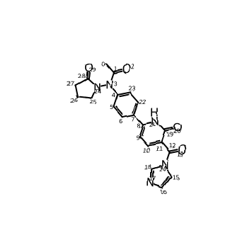 CC(=O)N(c1ccc(-c2ccc(C(=O)n3ccnc3)c(=O)[nH]2)cc1)N1CCCC1=O